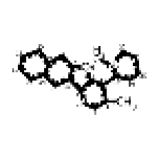 Cc1cnc2c(oc3cc4ccccc4cc32)c1-c1cccc[n+]1C